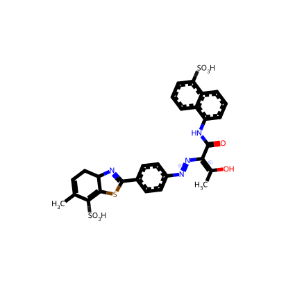 CC1=CCC2N=C(c3ccc(/N=N/C(C(=O)Nc4cccc5c(S(=O)(=O)O)cccc45)=C(\C)O)cc3)SC2=C1S(=O)(=O)O